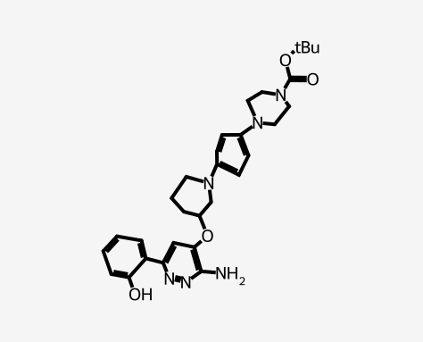 CC(C)(C)OC(=O)N1CCN(c2ccc(N3CCCC(Oc4cc(-c5ccccc5O)nnc4N)C3)cc2)CC1